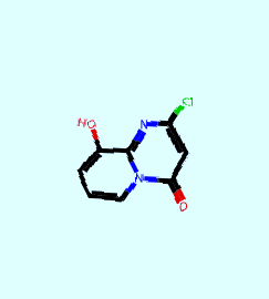 O=c1cc(Cl)nc2c(O)cccn12